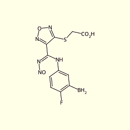 Bc1cc(N/C(=N\N=O)c2nonc2SCC(=O)O)ccc1F